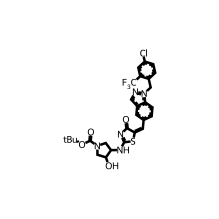 CC(C)(C)OC(=O)N1CC(O)C(NC2=NC(=O)C(=Cc3ccc4c(cnn4Cc4ccc(Cl)cc4C(F)(F)F)c3)S2)C1